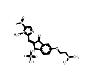 CN(C)CCOc1ccc2c(c1)C(=O)C(=Cc1ncc([N+](=O)[O-])n1C)C2.O=S(=O)(O)O